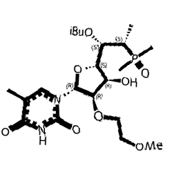 COCCO[C@@H]1[C@H](O)[C@@H]([C@H](OCC(C)C)[C@H](C)P(C)(C)=O)O[C@H]1n1cc(C)c(=O)[nH]c1=O